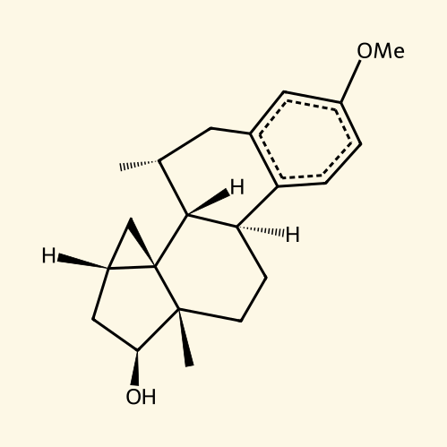 COc1ccc2c(c1)C[C@@H](C)[C@@H]1[C@@H]2CC[C@]2(C)[C@@H](O)C[C@@H]3C[C@@]312